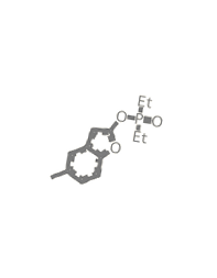 CCP(=O)(CC)Oc1cc2cc(C)ccc2o1